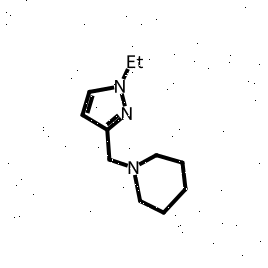 CCn1ccc(CN2CCCCC2)n1